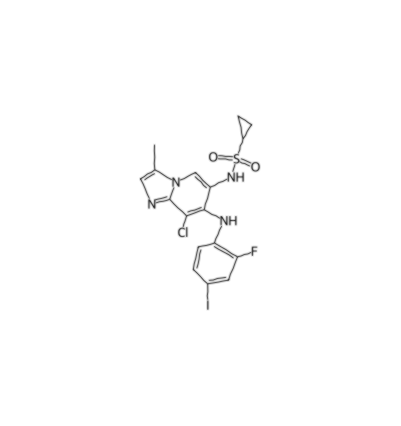 Cc1cnc2c(Cl)c(Nc3ccc(I)cc3F)c(NS(=O)(=O)C3CC3)cn12